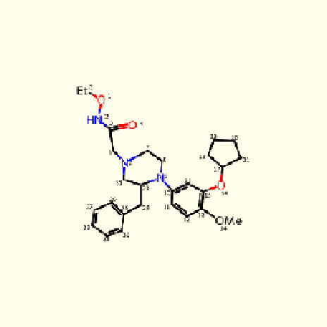 CCONC(=O)CN1CCN(c2ccc(OC)c(OC3CCCC3)c2)C(Cc2ccccc2)C1